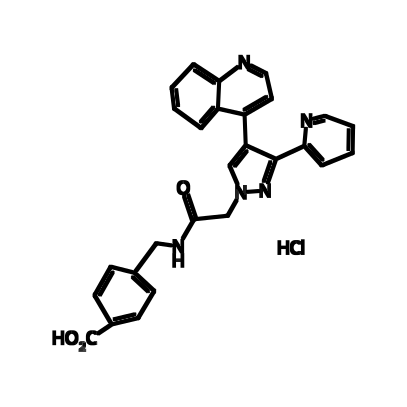 Cl.O=C(Cn1cc(-c2ccnc3ccccc23)c(-c2ccccn2)n1)NCc1ccc(C(=O)O)cc1